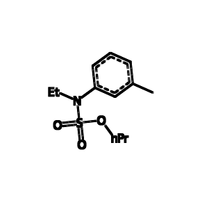 CCCOS(=O)(=O)N(CC)c1cccc(C)c1